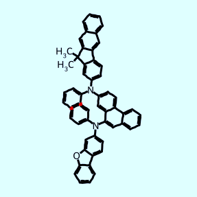 CC1(C)c2cc(N(c3ccccc3)c3ccc4c(c3)c(N(c3ccccc3)c3ccc5c(c3)oc3ccccc35)cc3ccccc34)ccc2-c2cc3ccccc3cc21